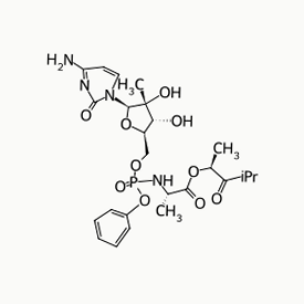 CC(C)C(=O)[C@H](C)OC(=O)[C@H](C)NP(=O)(OC[C@H]1O[C@@H](n2ccc(N)nc2=O)[C@](C)(O)[C@@H]1O)Oc1ccccc1